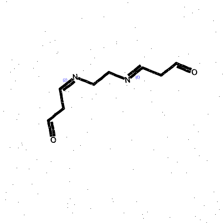 O=CC/C=N\CC/N=C/CC=O